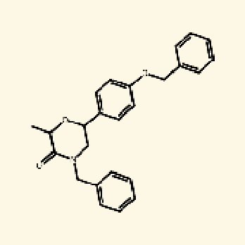 CC1OC(c2ccc(OCc3ccccc3)cc2)CN(Cc2ccccc2)C1=O